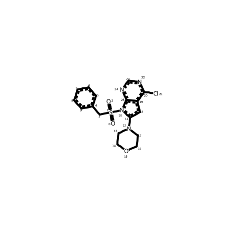 O=S(=O)(Cc1ccccc1)n1c(N2CCOCC2)cc2c(Cl)ncnc21